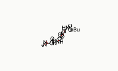 CCCCOC(=O)NCCN1CCN(S(=O)(=O)c2ccc(Nc3nc4ccc(-c5cnn(C6CC6)c5)cn4c(=O)c3C)c(F)c2)CC1